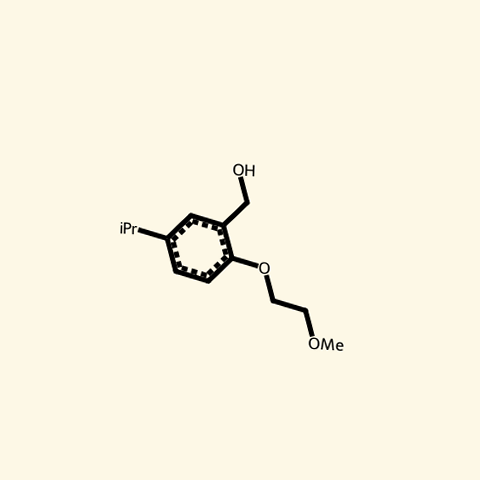 COCCOc1ccc(C(C)C)cc1CO